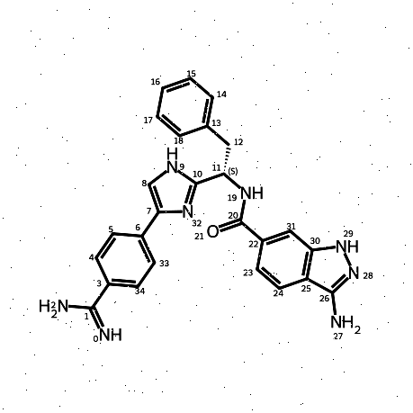 N=C(N)c1ccc(-c2c[nH]c([C@H](Cc3ccccc3)NC(=O)c3ccc4c(N)n[nH]c4c3)n2)cc1